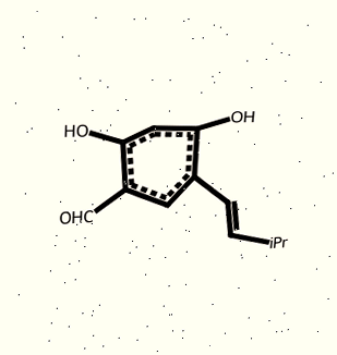 CC(C)C=Cc1cc(C=O)c(O)cc1O